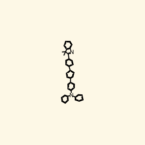 CC1(C)C(c2ccc(-c3ccc(-c4ccc(N(c5ccccc5)c5ccccc5)cc4)cc3)cc2)=Nc2ccccc21